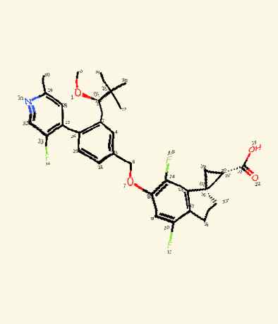 CO[C@H](c1cc(COc2cc(F)c3c(c2F)[C@@]2(CC3)C[C@@H]2C(=O)O)ccc1-c1cc(C)ncc1F)C(C)(C)C